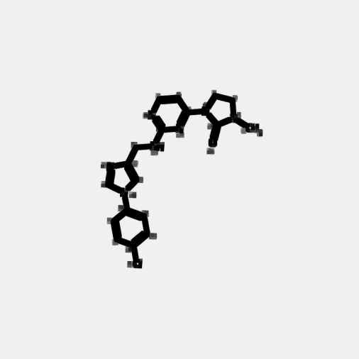 CN1CCN(c2ccnc(NCc3cn(-c4ccc(Cl)cc4)cn3)n2)C1=O